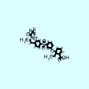 CCc1c(Oc2cccc(S(=O)(=O)c3ccc(C[C@@H](C)NC(=O)C(F)(F)F)cc3)c2)cccc1C(=O)O